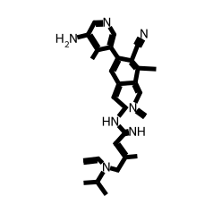 C=CN(C/C(C)=C/C(=N)NC/C=c1/cc(-c2cncc(N)c2C)c(C#N)c(C)/c1=C/N=C)C(C)C